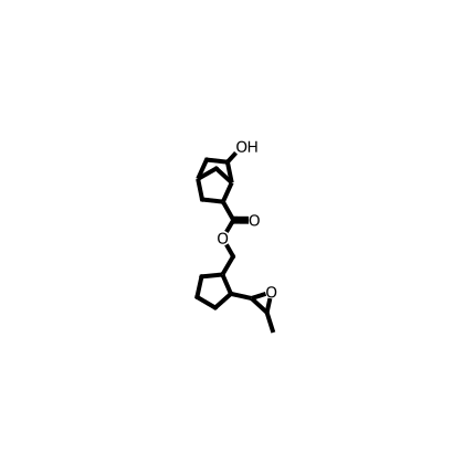 CC1OC1C1CCCC1COC(=O)C1CC2CC(O)C1C2